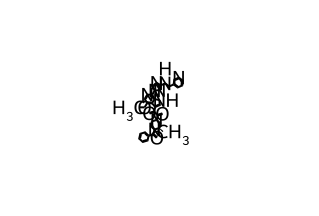 COc1cnc(-n2cnc(NCc3cccnc3)n2)c2[nH]cc(C(=O)C(=O)N3CCN(C(=O)c4ccccc4)[C@H](C)C3)c12